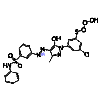 Cc1nn(-c2cc(Cl)cc(SOOO)c2)c(O)c1/N=N/c1cccc(S(=O)(=O)Nc2ccccc2)c1